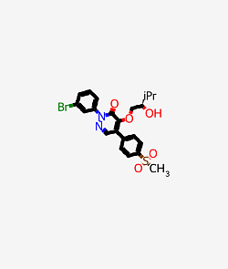 CC(C)[C@H](O)COc1c(-c2ccc(S(C)(=O)=O)cc2)cnn(-c2cccc(Br)c2)c1=O